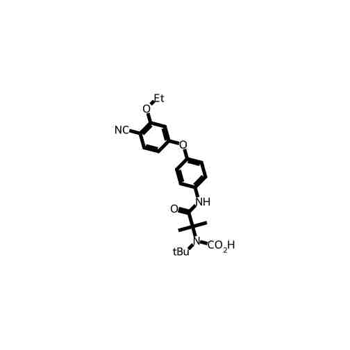 CCOc1cc(Oc2ccc(NC(=O)C(C)(C)N(C(=O)O)C(C)(C)C)cc2)ccc1C#N